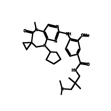 COc1cc(C(=O)NCC(C)(C)CN(C)C)ccc1Nc1ncc2c(n1)N(C1CCCC1)CC1(CC1)C(=O)N2C